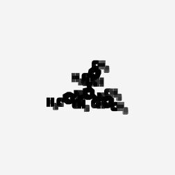 Cc1ccc(NC(=O)c2cc(C(=O)Nc3ccc(C)cc3C)cc(C(=O)Nc3ccc(C)cc3C)c2)c(C)c1